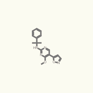 COc1nc(NC(C)(C)c2ccccc2)ncc1-c1ccno1